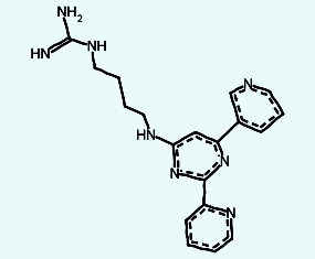 N=C(N)NCCCCNc1cc(-c2cccnc2)nc(-c2ccccn2)n1